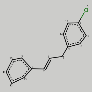 Clc1ccc([CH]C=Cc2ccccc2)cc1